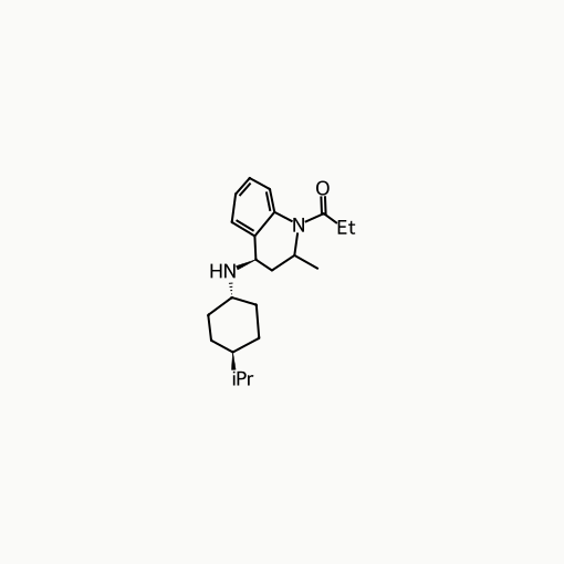 CCC(=O)N1c2ccccc2[C@H](N[C@H]2CC[C@H](C(C)C)CC2)CC1C